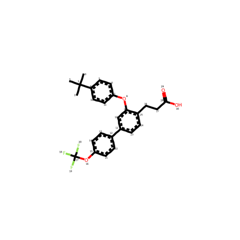 CC(C)(C)c1ccc(Oc2cc(-c3ccc(OC(F)(F)F)cc3)ccc2CCC(=O)O)cc1